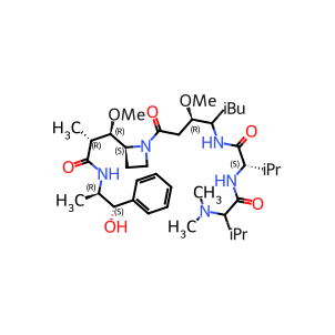 CCC(C)C(NC(=O)[C@@H](NC(=O)C(C(C)C)N(C)C)C(C)C)[C@@H](CC(=O)N1CC[C@H]1[C@H](OC)[C@@H](C)C(=O)N[C@H](C)[C@@H](O)c1ccccc1)OC